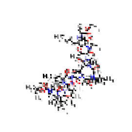 C=CC(C)(C)[C@@H](C(=O)N[C@H](C(=O)N(C)[C@@H](CC(C)C)C(=O)N[C@@H](C)C(=O)N1C(C)C[C@@H](C(=O)N(C)[C@@H]2C(=O)N(C)[C@H](C(=O)N[C@@H](CC)C(=O)OC)[C@@H]([C@H](C)CCCC)OC2C)N(C)C(=O)[C@H](CC(C)C)N(C)C(=O)[C@H]1C)C(C)C)N(C)C(=O)[C@@H](C)N(C)C(=O)OC(C)(C)C